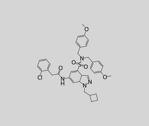 COc1ccc(CN(Cc2ccc(OC)cc2)S(=O)(=O)C2=CC(NC(=O)Cc3ccccc3Cl)=CC3C2C=NN3CC2CCC2)cc1